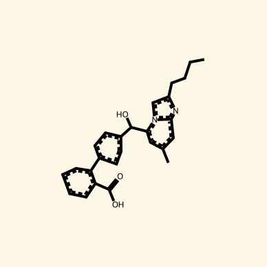 CCCCc1cn2c(C(O)c3ccc(-c4ccccc4C(=O)O)cc3)cc(C)cc2n1